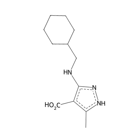 Cc1[nH]nc(NCC2CCCCC2)c1C(=O)O